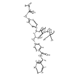 CN(C)C(=O)Oc1ccc(C(CCOc2ccc(C(=O)OCc3ccccc3)cc2)NC(=O)OC(C)(C)C)cc1